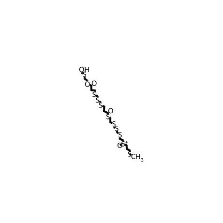 CSCCC[S+]([O-])CCSCSCSCCSC(=O)CCSCSCSCCC(=O)OCCSCO